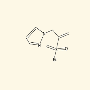 C=C(Cn1cccn1)S(=O)(=O)CC